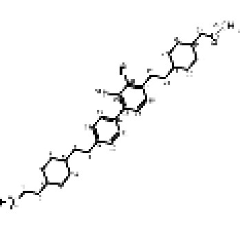 CCCC1CCC(CCc2ccc(-c3ccc(CCC4CCC(COC)CC4)c(F)c3F)cc2)CC1